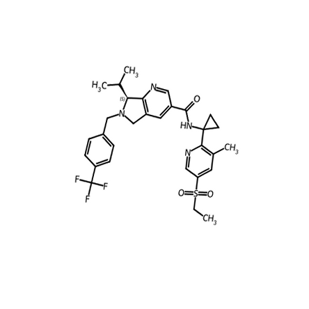 CCS(=O)(=O)c1cnc(C2(NC(=O)c3cnc4c(c3)CN(Cc3ccc(C(F)(F)F)cc3)[C@H]4C(C)C)CC2)c(C)c1